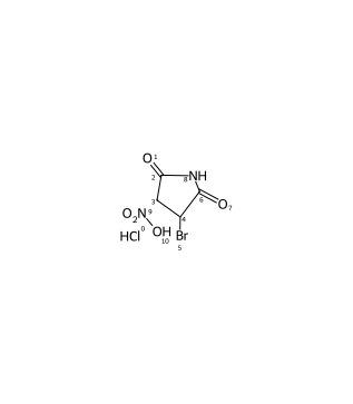 Cl.O=C1CC(Br)C(=O)N1.O=[N+]([O-])O